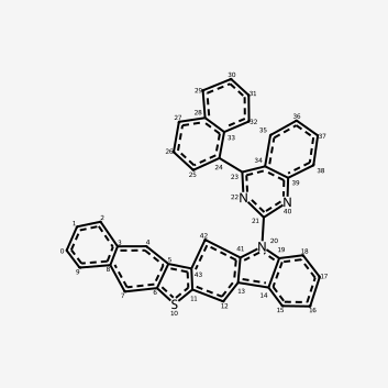 c1ccc2cc3c(cc2c1)sc1cc2c4ccccc4n(-c4nc(-c5cccc6ccccc56)c5ccccc5n4)c2cc13